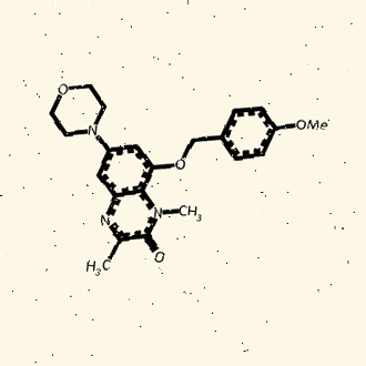 COc1ccc(COc2cc(N3CCOCC3)cc3nc(C)c(=O)n(C)c23)cc1